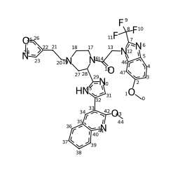 COc1ccc2nc(C(F)(F)F)n(CC(=O)N3CCN(CCc4cnoc4)CC3c3ncc(-c4cc5ccccc5nc4OC)[nH]3)c2c1